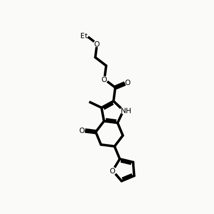 CCOCCOC(=O)c1[nH]c2c(c1C)C(=O)CC(c1ccco1)C2